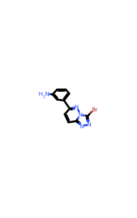 Nc1cccc(-c2ccc3nnc(Br)n3n2)c1